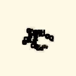 CCOc1ccc(CCCC[C@@H](C(=O)O)N2CCN(CC(=O)[O-])CCN(CC(=O)[O-])CCN(CC(=O)[O-])CC2)cc1.[Gd+3]